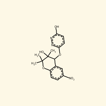 CC1(C)Oc2ccc([N+](=O)[O-])cc2C(Oc2ccc(O)nn2)C1(C)O